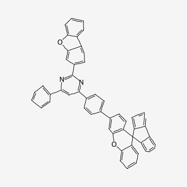 c1ccc(-c2cc(-c3ccc(-c4ccc5c(c4)Oc4ccccc4C54c5ccccc5-c5ccccc54)cc3)nc(-c3ccc4c(c3)oc3ccccc34)n2)cc1